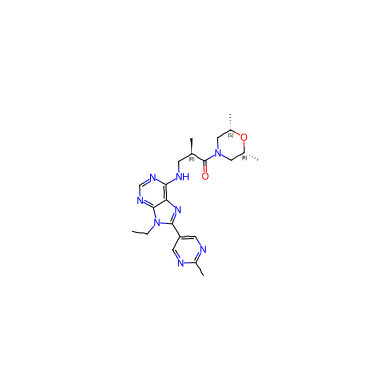 CCn1c(-c2cnc(C)nc2)nc2c(NC[C@@H](C)C(=O)N3C[C@@H](C)O[C@@H](C)C3)ncnc21